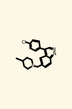 CC1CCN(Cc2ccc3nncc(-c4ccc(Cl)cc4)c3c2)CC1